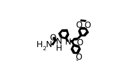 COc1ccc2/c(=N/c3ccccc3NC(=O)CN)cc(-c3ccc4c(c3)OCCO4)oc2c1